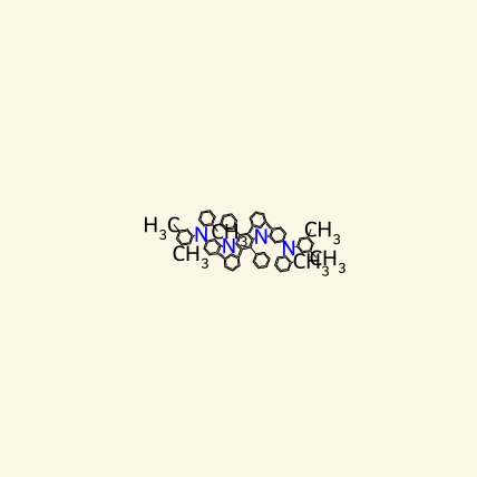 Cc1cc(C)cc(N(c2ccc3c4cccc5c6c(-c7ccccc7)c7c(c(-c8ccccc8)c6n(c3c2)c45)c2cccc3c4ccc(N(c5cc(C)cc(C)c5)c5ccccc5C)cc4n7c32)c2ccccc2C)c1